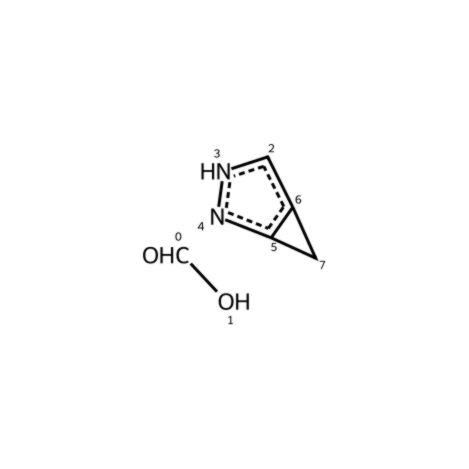 O=CO.c1[nH]nc2c1C2